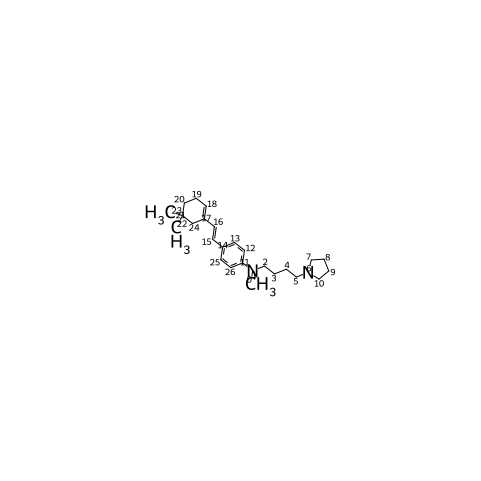 CN(CCCCN1CCCC1)c1ccc(C=CC2=CCCC(C)(C)C2)cc1